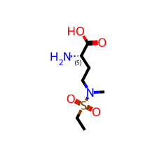 CCS(=O)(=O)N(C)CC[C@H](N)C(=O)O